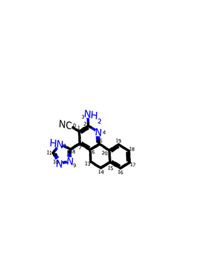 N#Cc1c(N)nc2c(c1-c1nnc[nH]1)CCc1ccccc1-2